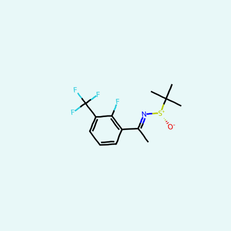 CC(=N[S@@+]([O-])C(C)(C)C)c1cccc(C(F)(F)F)c1F